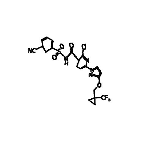 N#CC1C=CC=C(S(=O)(=O)NC(=O)C2CC=C(n3ccc(OCC4(C(F)(F)F)CC4)n3)N=C2Cl)C1